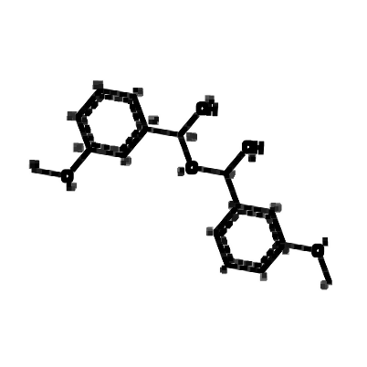 COc1cccc(C(O)OC(O)c2cccc(OC)c2)c1